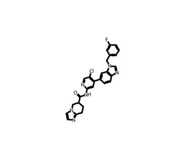 O=C(Nc1cc(-c2ccc3ncn(Cc4cccc(F)c4)c3c2)c(Cl)cn1)C1CCc2nccn2C1